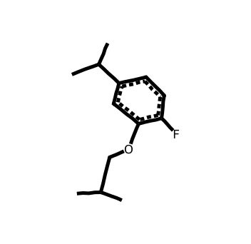 CC(C)COc1cc(C(C)C)ccc1F